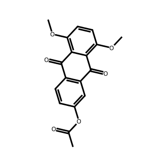 COc1ccc(OC)c2c1C(=O)c1ccc(OC(C)=O)cc1C2=O